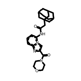 O=C(CC12CC3CC(CC(C3)C1)C2)Nc1cccc2nc(C(=O)N3CCOCC3)cn12